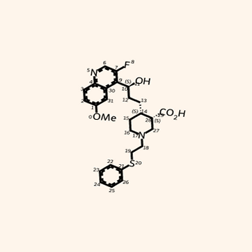 COc1ccc2ncc(F)c([C@@H](O)CC[C@H]3CCN(CCSc4ccccc4)C[C@H]3C(=O)O)c2c1